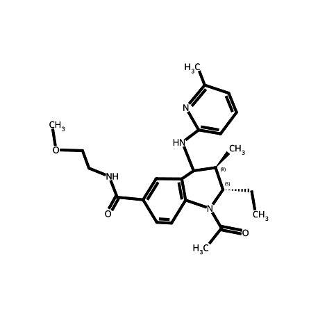 CC[C@H]1[C@H](C)C(Nc2cccc(C)n2)c2cc(C(=O)NCCOC)ccc2N1C(C)=O